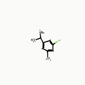 CCCC[C](C)c1cc(F)cc(C(F)(F)F)c1